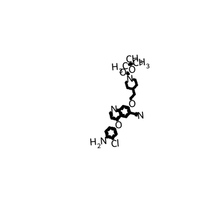 CC(C)(C)OC(=O)N1CCC(CCOc2cc3nccc(Oc4ccc(N)c(Cl)c4)c3cc2C#N)CC1